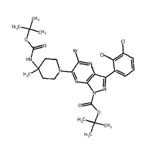 CC1(NC(=O)OC(C)(C)C)CCN(c2nc3c(nc2Br)c(-c2cccc(Cl)c2Cl)nn3C(=O)OC(C)(C)C)CC1